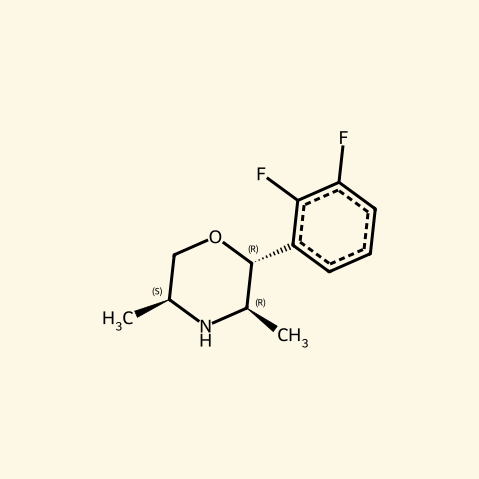 C[C@H]1CO[C@H](c2cccc(F)c2F)[C@@H](C)N1